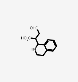 O=CCC(C(=O)O)C1NCCc2ccccc21